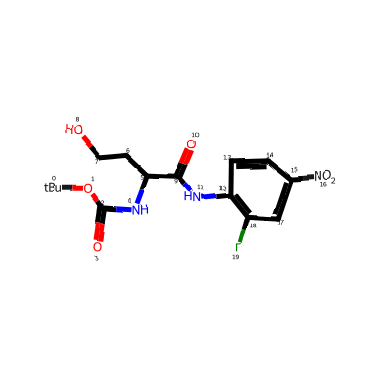 CC(C)(C)OC(=O)NC(CCO)C(=O)Nc1ccc([N+](=O)[O-])cc1F